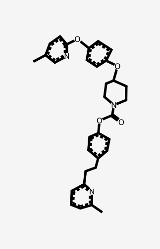 Cc1ccc(Oc2ccc(OC3CCN(C(=O)Oc4ccc(CCc5cccc(C)n5)cc4)CC3)cc2)nc1